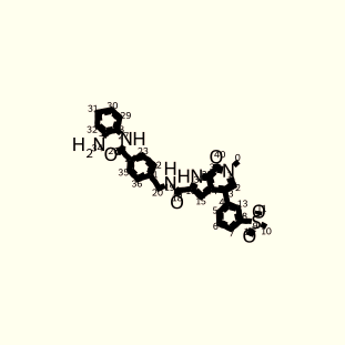 Cn1cc(-c2cccc(S(C)(=O)=O)c2)c2cc(C(=O)NCc3ccc(C(=O)Nc4ccccc4N)cc3)[nH]c2c1=O